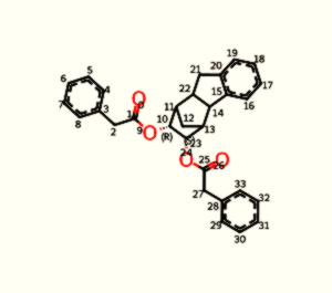 O=C(Cc1ccccc1)O[C@@H]1C2CC(C3c4ccccc4CC32)[C@@H]1OC(=O)Cc1ccccc1